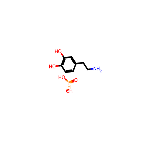 NCCc1ccc(O)c(O)c1.O=[PH](O)O